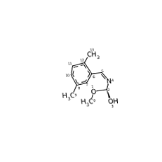 CO[C@H](O)/N=C\c1cc(C)ccc1C